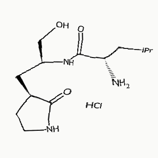 CC(C)C[C@H](N)C(=O)N[C@H](CO)C[C@@H]1CCNC1=O.Cl